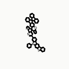 c1ccc(-n2c3cc(-c4cnc5c(c4)C4(c6ccccc6Oc6cc7c(cc64)-c4ccccc4C74c6ccccc6-c6ccccc64)c4cccnc4-5)ccc3c3cc4c(cc32)sc2ccccc24)cc1